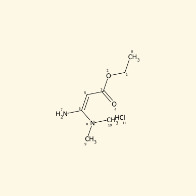 CCOC(=O)C=C(N)N(C)C.Cl